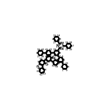 C1=CCC(c2ccc(-c3cc(-c4nc(-c5ccccc5)nc(-c5ccccc5)n4)cc(-c4ccc(C5=CCCC=C5)cc4)c3-n3c4ccccc4c4c5sc6c(ccc7sc8ccccc8c76)c5ccc43)cc2)C=C1